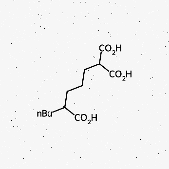 CCCCC(CCCC(C(=O)O)C(=O)O)C(=O)O